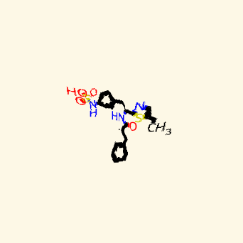 CCc1cnc([C@H](Cc2ccc(NS(=O)(=O)O)cc2)NC(=O)[CH]Cc2ccccc2)s1